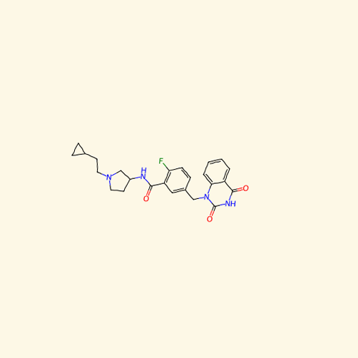 O=C(NC1CCN(CCC2CC2)C1)c1cc(Cn2c(=O)[nH]c(=O)c3ccccc32)ccc1F